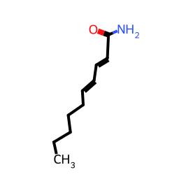 CCCCCC=CC=CC(N)=O